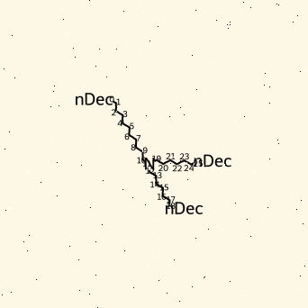 CCCCCCCCCCCCCCCCCCCCN(CCCCCCCCCCCCCCCC)CCCCCCCCCCCCCCCC